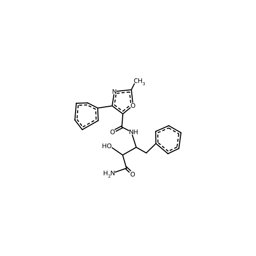 Cc1nc(-c2ccccc2)c(C(=O)NC(Cc2ccccc2)C(O)C(N)=O)o1